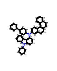 c1ccc(-c2ccc(N(c3ccc4c(ccc5ccc6ccccc6c54)c3)c3cccc4c3c3ccccc3n4-c3ccccc3)cc2)cc1